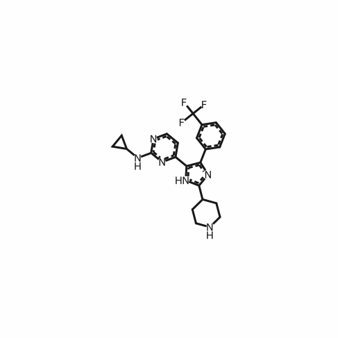 FC(F)(F)c1cccc(-c2nc(C3CCNCC3)[nH]c2-c2ccnc(NC3CC3)n2)c1